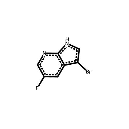 Fc1cnc2[nH]cc(Br)c2c1